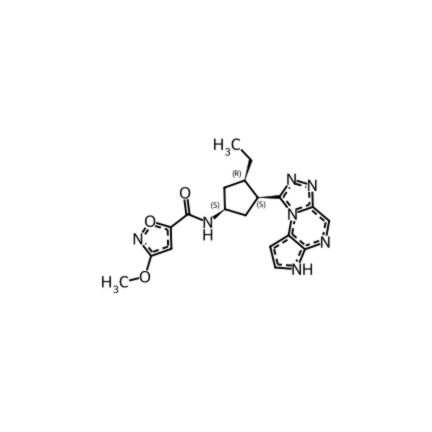 CC[C@@H]1C[C@H](NC(=O)c2cc(OC)no2)C[C@@H]1c1nnc2cnc3[nH]ccc3n12